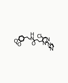 O=C(CCc1nc(-n2ccnc2)ncc1Cl)NCCc1ccc2c(c1)OCO2